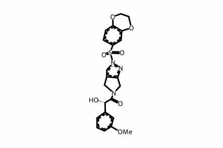 COc1cccc([C@H](O)C(=O)N2Cc3cn(S(=O)(=O)c4ccc5c(c4)OCCO5)nc3C2)c1